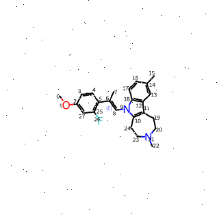 COc1ccc(/C(C)=C/n2c3c(c4cc(C)ccc42)CCN(C)CC3)c(F)c1